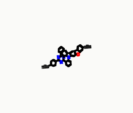 CCCCc1ccc(-c2nc(-c3ccccc3)nc(-c3ccccc3-n3c4ccccc4c4cc5c(cc43)oc3cc(CCCC)ccc35)n2)cc1